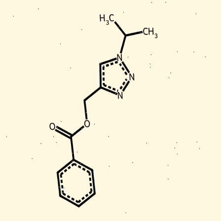 CC(C)n1cc(COC(=O)c2ccccc2)nn1